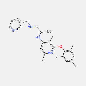 CCC(CNCc1cccnc1)Nc1cc(C)nc(Oc2c(C)cc(C)cc2C)c1C